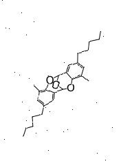 CCCCCc1cc(C)c2c(c1)C1Oc3c(C)cc(CCCCC)cc3C(O2)O1